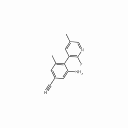 Cc1cnc(F)c(-c2c(C)cc(C#N)cc2N)c1